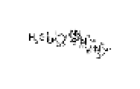 CCOc1ccc(-c2nnc(N3CCC(N4CCCC4)CC3)s2)cc1